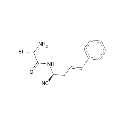 CC[C@H](N)C(=O)N[C@H](C#N)C/C=C/c1ccccc1